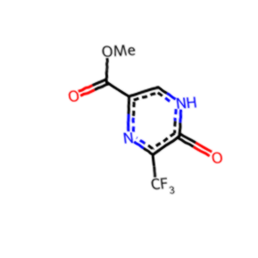 COC(=O)c1c[nH]c(=O)c(C(F)(F)F)n1